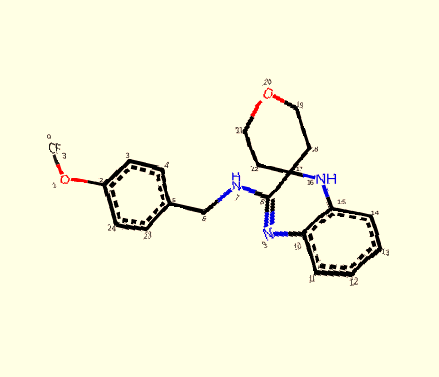 FC(F)(F)Oc1ccc(CNC2=Nc3ccccc3NC23CCOCC3)cc1